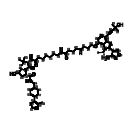 CCn1c(-c2nonc2N)nc2c(C#CC(C)(C)O)ncc(OCCCNCCCC(=O)NCCCCCCC(=O)N[C@H](C(=O)N3C[C@H](O)C[C@H]3C(=O)NCc3ccc(-c4scnc4C)cc3)C(C)(C)C)c21